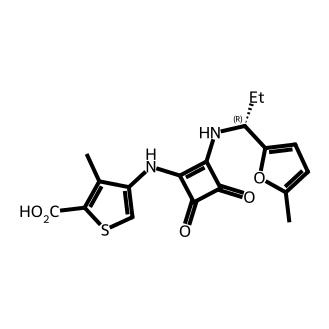 CC[C@@H](Nc1c(Nc2csc(C(=O)O)c2C)c(=O)c1=O)c1ccc(C)o1